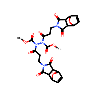 CC(C)(C)OC(=O)N(C(=O)CCN1C(=O)C2C3C=CC(O3)C2C1=O)N(C(=O)CCN1C(=O)C2C3C=CC(O3)C2C1=O)C(=O)OC(C)(C)C